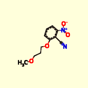 COCCCOc1cccc([N+](=O)[O-])c1C#N